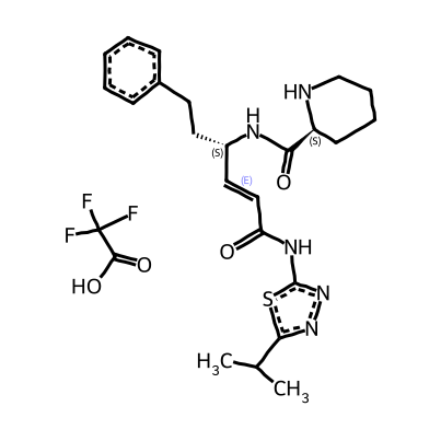 CC(C)c1nnc(NC(=O)/C=C/[C@H](CCc2ccccc2)NC(=O)[C@@H]2CCCCN2)s1.O=C(O)C(F)(F)F